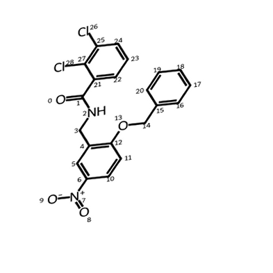 O=C(NCc1cc([N+](=O)[O-])ccc1OCc1ccccc1)c1cccc(Cl)c1Cl